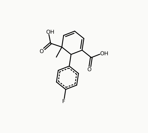 CC1(C(=O)O)C=CC=C(C(=O)O)C1c1ccc(F)cc1